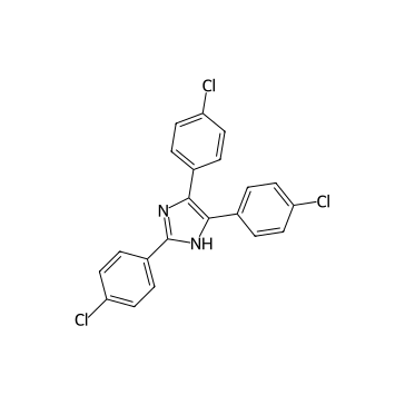 Clc1ccc(-c2nc(-c3ccc(Cl)cc3)c(-c3ccc(Cl)cc3)[nH]2)cc1